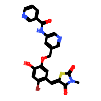 CN1C(=O)S/C(=C\c2cc(OCc3cncc(NC(=O)c4cccnc4)c3)c(O)cc2Br)C1=O